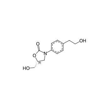 O=C1O[C@@H](CO)CN1c1ccc(CCO)cc1